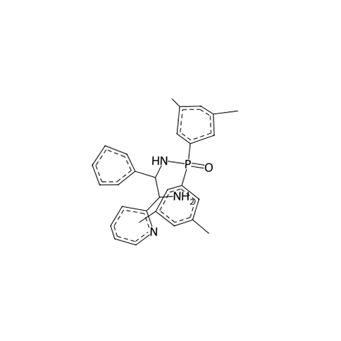 Cc1cc(C)cc(P(=O)(NC(c2ccccc2)C(N)c2ccccn2)c2cc(C)cc(C)c2)c1